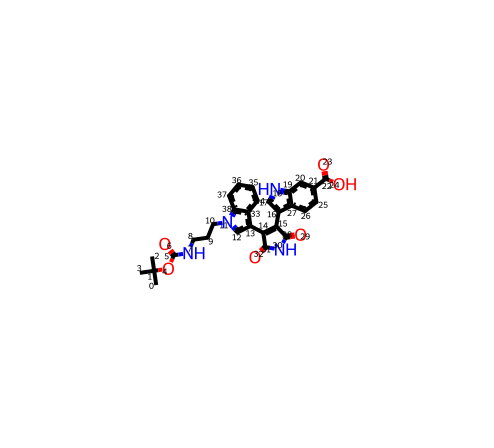 CC(C)(C)OC(=O)NCCCn1cc(C2=C(c3c[nH]c4cc(C(=O)O)ccc34)C(=O)NC2=O)c2ccccc21